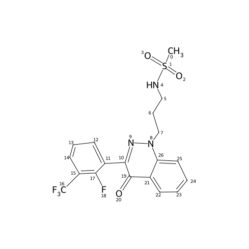 CS(=O)(=O)NCCCn1nc(-c2cccc(C(F)(F)F)c2F)c(=O)c2ccccc21